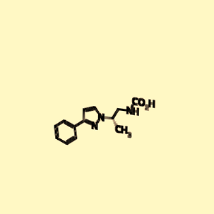 C[C@@H](CNC(=O)O)n1ccc(-c2ccccc2)n1